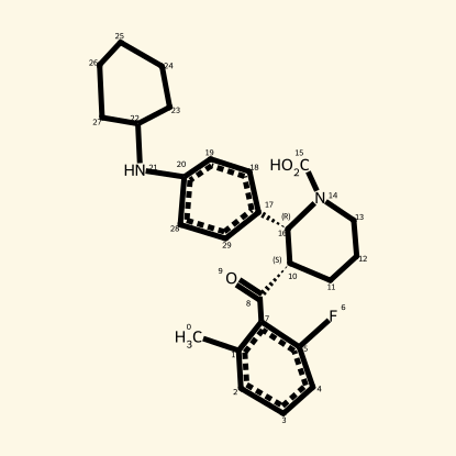 Cc1cccc(F)c1C(=O)[C@H]1CCCN(C(=O)O)[C@H]1c1ccc(NC2CCCCC2)cc1